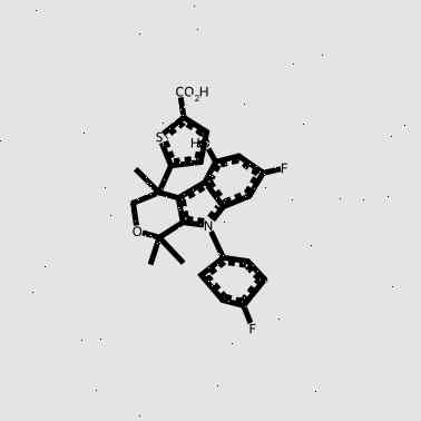 CC1(C)OCC(C)(c2ccc(C(=O)O)s2)c2c1n(-c1ccc(F)cc1)c1cc(F)cc(O)c21